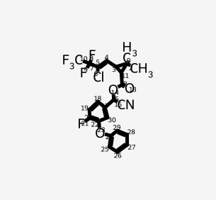 CC1(C)C(C=C(Cl)C(F)(F)C(F)(F)F)C1C(=O)OC(C#N)c1ccc(F)c(Oc2ccccc2)c1